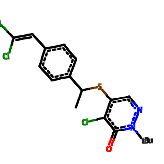 CC(Sc1cnn(C(C)(C)C)c(=O)c1Cl)c1ccc(C=C(Cl)Cl)cc1